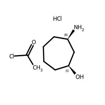 CC(=O)Cl.Cl.N[C@@H]1CCCC[C@H](O)C1